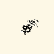 CC(C)(C)OC(=O)N1CCC2(CCCN(C(=O)Cl)c3ccccc32)CC1